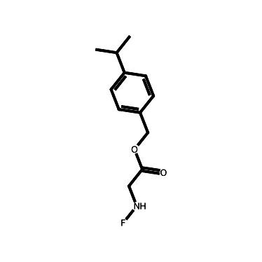 CC(C)c1ccc(COC(=O)CNF)cc1